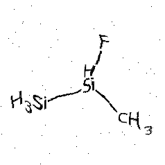 C[SiH](F)[SiH3]